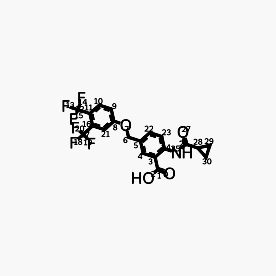 O=C(O)c1cc(COc2ccc(C(F)(F)F)c(C(F)(F)F)c2)ccc1NC(=O)C1CC1